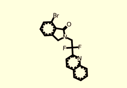 O=C1c2c(Br)cccc2CN1CC(F)(F)c1ccc2ccccc2n1